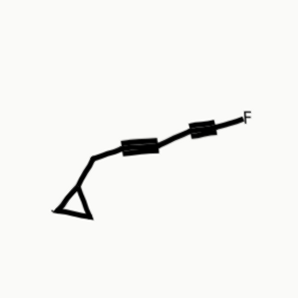 FC#CC#CCC1[CH]C1